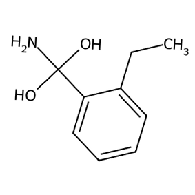 CCc1ccccc1C(N)(O)O